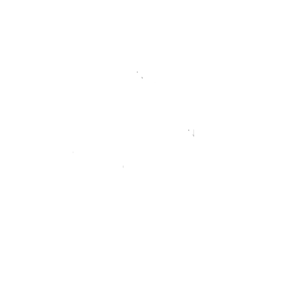 CCOC(=O)C(C)=CN.CN(C)C